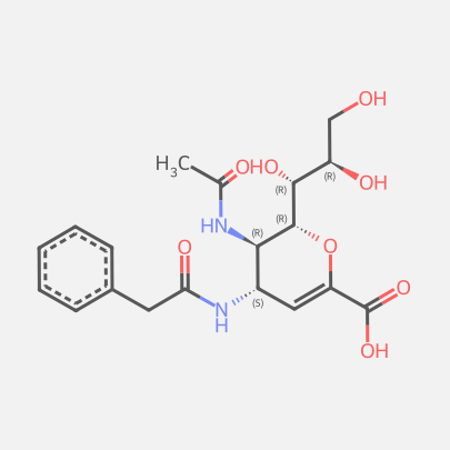 CC(=O)N[C@H]1[C@H]([C@H](O)[C@H](O)CO)OC(C(=O)O)=C[C@@H]1NC(=O)Cc1ccccc1